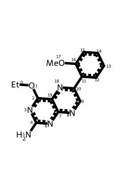 CCOc1nc(N)nc2ncc(-c3ccccc3OC)nc12